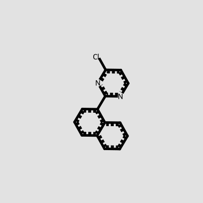 Clc1ccnc(-c2cccc3ccccc23)n1